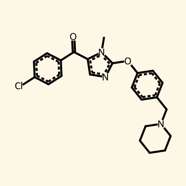 Cn1c(C(=O)c2ccc(Cl)cc2)cnc1Oc1ccc(CN2CCCCC2)cc1